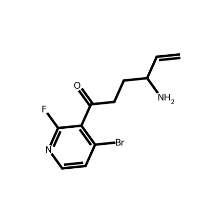 C=CC(N)CCC(=O)c1c(Br)ccnc1F